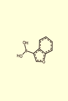 OB(O)c1coc2ccccc12